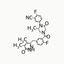 Cc1c(Cc2ccc(F)c(C(=O)N3CC(=O)N(c4ccc(F)c(C#N)c4)[C@H](C)C3)c2)n[nH]c(=O)c1C